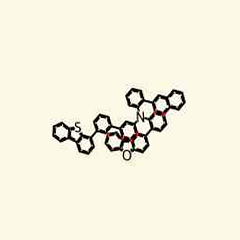 c1cc(-c2cccc(N(c3ccccc3-c3ccc4ccccc4c3)c3ccccc3-c3ccc4oc5ccccc5c4c3)c2)cc(-c2cccc3c2sc2ccccc23)c1